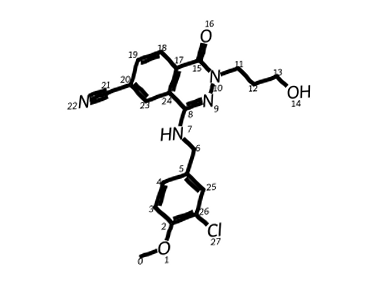 COc1ccc(CNc2nn(CCCO)c(=O)c3ccc(C#N)cc23)cc1Cl